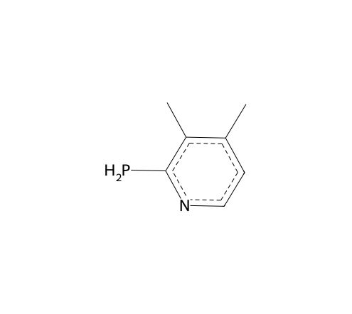 Cc1ccnc(P)c1C